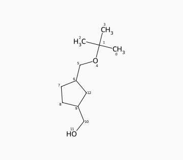 CC(C)(C)OCC1CCC(CO)C1